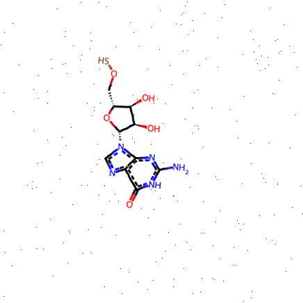 Nc1nc2c(ncn2[C@@H]2O[C@H](COS)[C@@H](O)[C@H]2O)c(=O)[nH]1